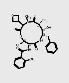 C[C@H]1OC(=O)C(C2COC2)N(C)C(=O)[C@H](C)[C@H](O)[C@H](Cc2ccccc2)NC(=O)[C@H]1NC(=O)c1ccccc1O